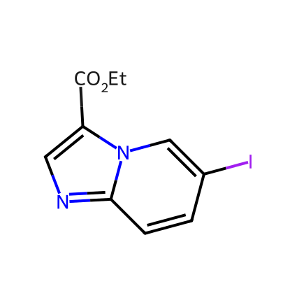 CCOC(=O)c1cnc2ccc(I)cn12